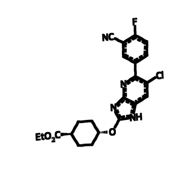 CCOC(=O)[C@H]1CC[C@H](Oc2nc3nc(-c4ccc(F)c(C#N)c4)c(Cl)cc3[nH]2)CC1